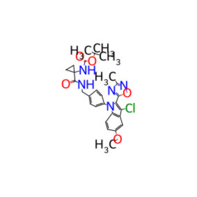 COc1ccc2c(c1)c(Cl)c(-c1nc(C)no1)n2-c1ccc(CNC(=O)C2(NC(=O)OC(C)(C)C)CC2)cc1